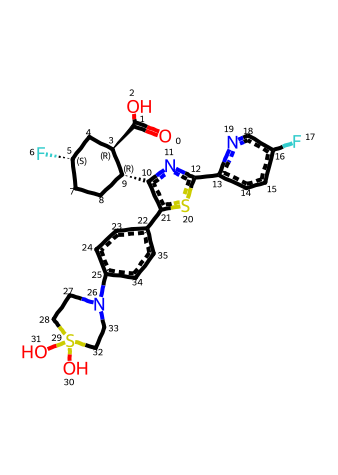 O=C(O)[C@@H]1C[C@@H](F)CC[C@H]1c1nc(-c2ccc(F)cn2)sc1-c1ccc(N2CCS(O)(O)CC2)cc1